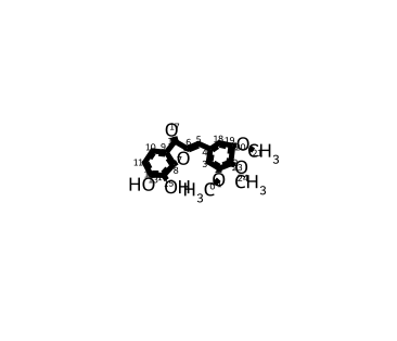 COc1cc(/C=C2\Oc3c(ccc(O)c3O)C2=O)cc(OC)c1OC